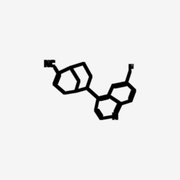 N#CC1=CCC2CC1CCC2c1ccnc2ccc(F)cc12